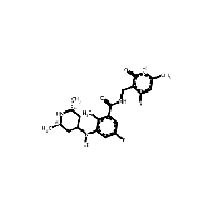 CCN(c1cc(F)cc(C(=O)NCc2c(C(C)C)cc(C)[nH]c2=O)c1C)C1C[C@@H](C)N[C@H](C)C1